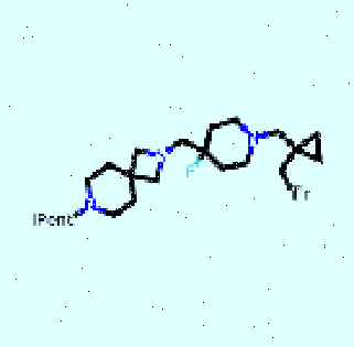 CCCC(C)N1CCC2(CC1)CN(CC1(F)CCN(CC3(CC(C)C)CC3)CC1)C2